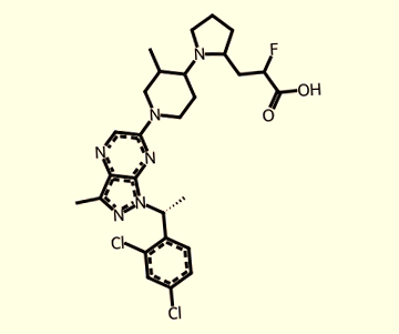 Cc1nn([C@H](C)c2ccc(Cl)cc2Cl)c2nc(N3CCC(N4CCCC4CC(F)C(=O)O)C(C)C3)cnc12